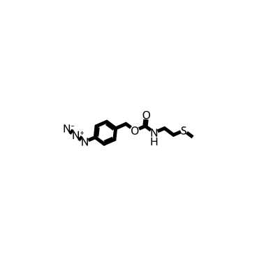 CSCCNC(=O)OCc1ccc(N=[N+]=[N-])cc1